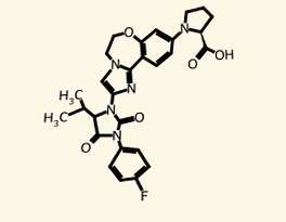 CC(C)C1C(=O)N(c2ccc(F)cc2)C(=O)N1c1cn2c(n1)-c1ccc(N3CCC[C@H]3C(=O)O)cc1OCC2